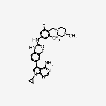 CN1CCN(Cc2c(F)cc(NC(=O)Nc3ccc(-c4cn(C5CC5)c5ncnc(N)c45)cc3F)cc2C(F)(F)F)CC1